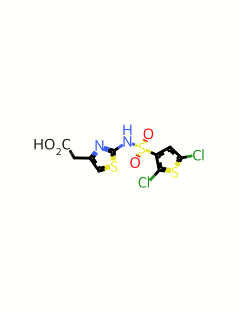 O=C(O)Cc1csc(NS(=O)(=O)c2cc(Cl)sc2Cl)n1